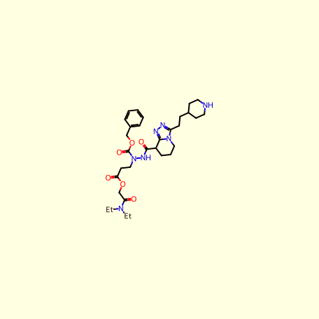 CCN(CC)C(=O)COC(=O)CCN(NC(=O)C1CCCn2c(CCC3CCNCC3)nnc21)C(=O)OCc1ccccc1